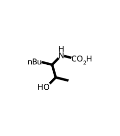 CCCCC(NC(=O)O)C(C)O